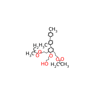 C=C(C)C(=O)OCCCc1cc(-c2ccc(-c3ccc(C)cc3)cc2C)cc(CCCOC(=O)C(=C)C)c1OCCCO